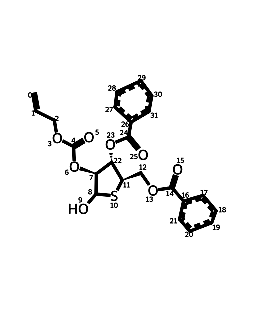 C=CCOC(=O)O[C@@H]1C(O)S[C@H](COC(=O)c2ccccc2)[C@H]1OC(=O)c1ccccc1